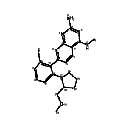 CNc1nc(N)nc2nc(-c3c(F)cccc3N3CCCC3COC)ccc12